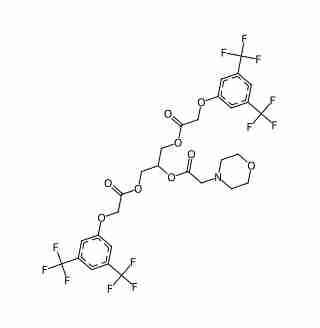 O=C(COc1cc(C(F)(F)F)cc(C(F)(F)F)c1)OCC(COC(=O)COc1cc(C(F)(F)F)cc(C(F)(F)F)c1)OC(=O)CN1CCOCC1